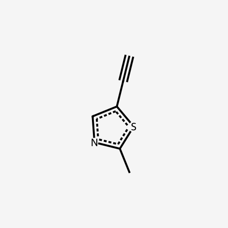 C#Cc1cnc(C)s1